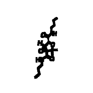 CCCCNC(=O)[C@@H]1OC(C)(C)C2(C(=O)NCCCC)O[C@H]12